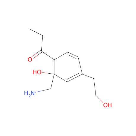 CCC(=O)C1C=CC(CCO)=CC1(O)CN